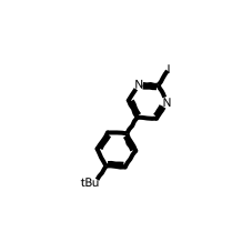 CC(C)(C)c1ccc(-c2cnc(I)nc2)cc1